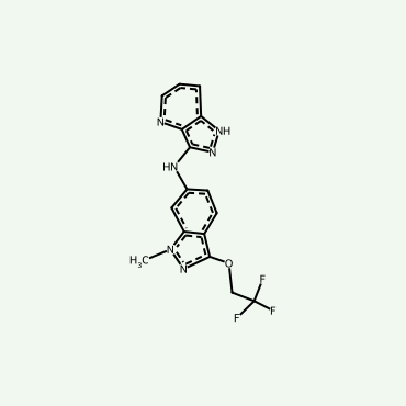 Cn1nc(OCC(F)(F)F)c2ccc(Nc3n[nH]c4cccnc34)cc21